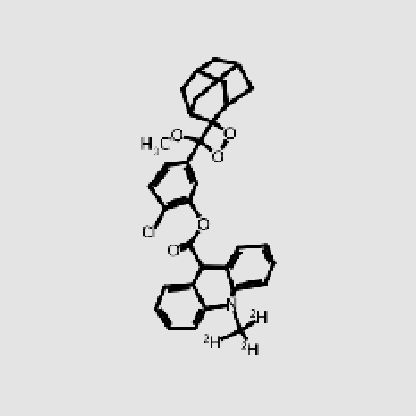 [2H]C([2H])([2H])N1c2ccccc2C(C(=O)Oc2cc(C3(OC)OOC34C3CC5CC(C3)CC4C5)ccc2Cl)c2ccccc21